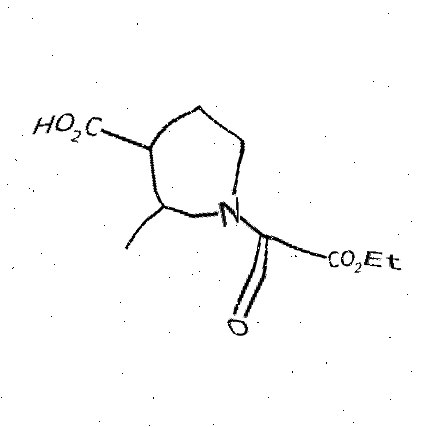 CCOC(=O)C(=O)N1CCC(C(=O)O)C1C